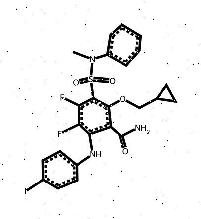 CN(c1ccccc1)S(=O)(=O)c1c(F)c(F)c(Nc2ccc(I)cc2)c(C(N)=O)c1OCC1CC1